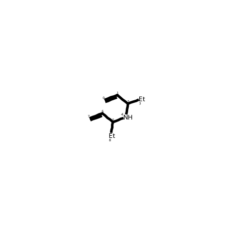 C=CC(CC)NC(C=C)CC